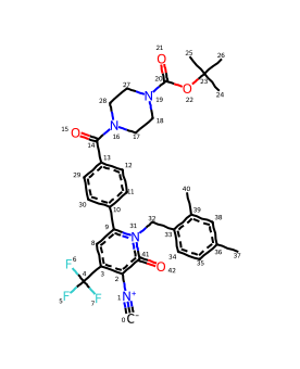 [C-]#[N+]c1c(C(F)(F)F)cc(-c2ccc(C(=O)N3CCN(C(=O)OC(C)(C)C)CC3)cc2)n(Cc2ccc(C)cc2C)c1=O